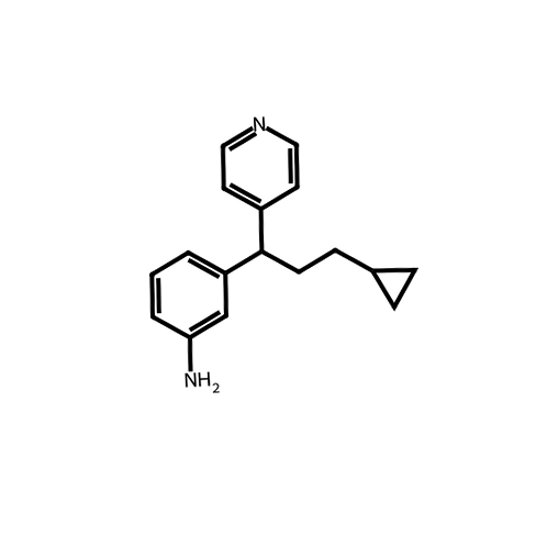 Nc1cccc(C(CCC2CC2)c2ccncc2)c1